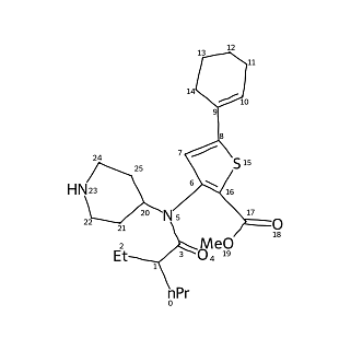 CCCC(CC)C(=O)N(c1cc(C2=CCCCC2)sc1C(=O)OC)C1CCNCC1